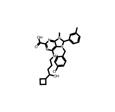 Cc1cccc(C2N(C)c3nc(C(=O)O)nc(NCCCC(O)C4CCC4)c3N2Cc2ccc(Cl)cc2)c1